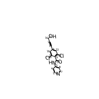 O=C(Nc1ccncc1)c1c(Cl)cc(C#CCO)cc1Cl